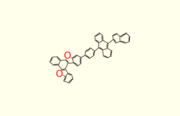 c1ccc2cc(-c3c4ccccc4c(-c4ccc(-c5ccc6c(c5)oc5c7ccccc7c7oc8ccccc8c7c65)cc4)c4ccccc34)ccc2c1